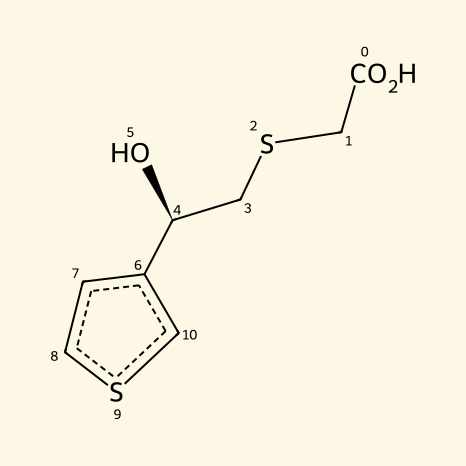 O=C(O)CSC[C@H](O)c1ccsc1